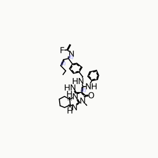 C=C(F)/N=C(\C=C/CC)c1ccc(CN/C(Nc2ccccc2)=c2/c(=O)n(C)c3n(c2=N)[C@H]2CCCC[C@H]2N=3)cc1